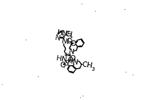 CCOC(=O)CN(Cc1ccccc1)C(=O)[C@H](CCCNc1ncc[nH]1)NS(=O)(=O)c1cccc2c1NCC(C)C2